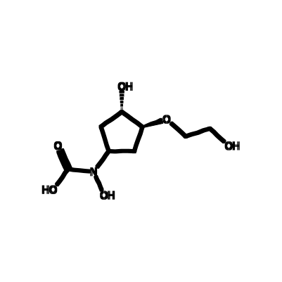 O=C(O)N(O)C1C[C@H](OCCO)[C@@H](O)C1